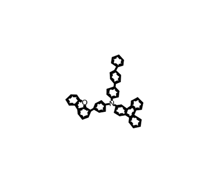 c1ccc(-c2ccc(-c3ccc(N(c4ccc(-c5cccc6c5oc5ccccc56)cc4)c4ccc5c6ccccc6c6ccccc6c5c4)cc3)cc2)cc1